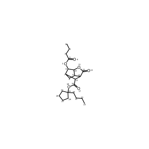 [CH2]CCC(=O)OC1C2CC3C1OC(=O)C3C2C(=O)OC1(CCCC)CCCC1